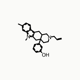 C=CCN1CCC2(c3cccc(O)c3)Cc3c(c4ccc(C)cc4n3C)CC2C1